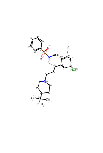 CN(C[C@@H](CCN1CCC(C(C)(C)C)CC1)c1cccc(Cl)c1)S(=O)(=O)c1ccccc1.Cl